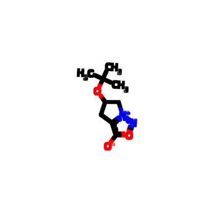 CC(C)(C)OC1Cc2c([O-])on[n+]2C1